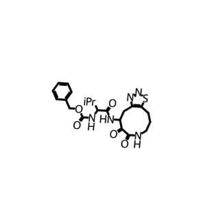 CC(C)C(NC(=O)OCc1ccccc1)C(=O)NC1Cc2nnsc2CCCNC(=O)C1=O